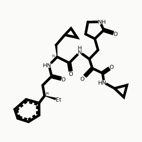 CC[C@H](CC(=O)N[C@@H](CC1CC1)C(=O)NC(CC1CCNC1=O)C(=O)C(=O)NC1CC1)c1ccccc1